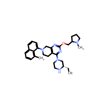 Cc1cccc2cccc(N3CCc4c(nc(OCC5CCCN5C)nc4N4CCN[C@@H](CC#N)C4)C3)c12